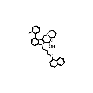 Cc1ccccc1-c1cccc2c1c(CN1CCCCC1)c(C(=O)O)n2CCCOc1cccc2ccccc12